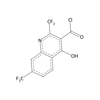 O=C(Cl)c1c(C(F)(F)F)nc2cc(C(F)(F)F)ccc2c1O